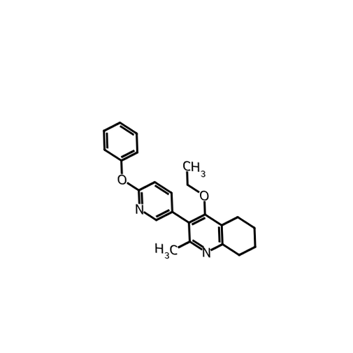 CCOc1c2c(nc(C)c1-c1ccc(Oc3ccccc3)nc1)CCCC2